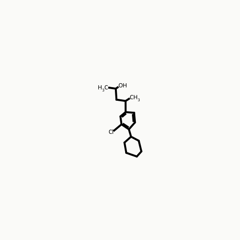 CC(O)CC(C)c1ccc(C2CCCCC2)c(Cl)c1